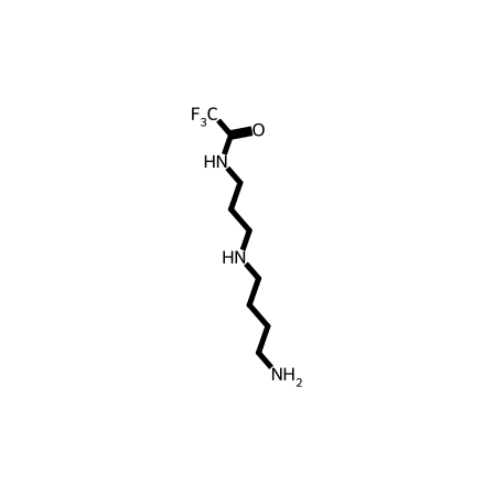 NCCCCNCCCNC(=O)C(F)(F)F